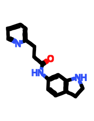 O=C(CCc1ccccn1)Nc1ccc2c(c1)NCC2